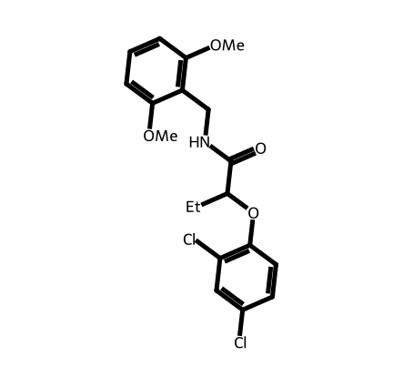 CCC(Oc1ccc(Cl)cc1Cl)C(=O)NCc1c(OC)cccc1OC